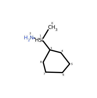 C[SiH](N)C1CCCCC1